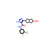 O=C(Nc1ccc(F)c(Cl)c1)c1[nH]cnc1C1CC2CC(O)CC2C1